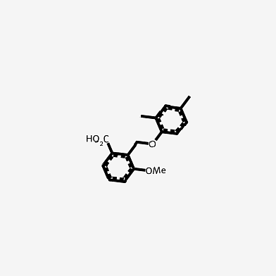 COc1cccc(C(=O)O)c1COc1ccc(C)cc1C